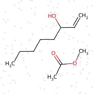 C=CC(O)CCCCC.COC(C)=O